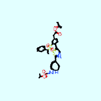 CC(C)OC(=O)Cc1ccc(-c2cnc(C3CCC(NC(=O)OC(C)C)CC3)s2)c(S(=O)(=O)C(C)c2ccccc2)c1